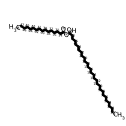 CCCCCCCCCCCCCCCCCCCCCCCCCCCCCC(O)OC(=O)CCCCCCCCCCCCCCC